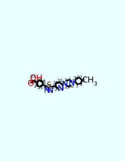 C[C@H]1CC[C@H](N2CCN(c3ccc(-c4nnc(-c5ccc(C(=O)O)cc5)s4)cn3)CC2)CC1